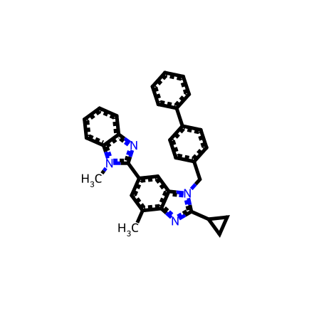 Cc1cc(-c2nc3ccccc3n2C)cc2c1nc(C1CC1)n2Cc1ccc(-c2ccccc2)cc1